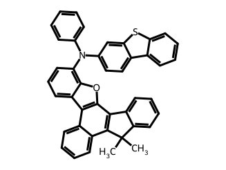 CC1(C)c2ccccc2-c2c1c1ccccc1c1c2oc2c(N(c3ccccc3)c3ccc4c(c3)sc3ccccc34)cccc21